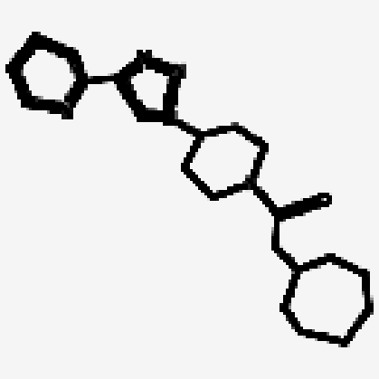 O=C(CC1CCCCCC1)N1CCC(n2cc(-c3ccccn3)nn2)CC1